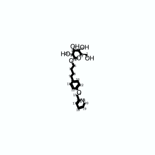 OC[C@H]1O[C@@H](OCCCCc2ccc(OCc3ccccn3)cc2)[C@H](O)[C@@H](O)[C@@H]1O